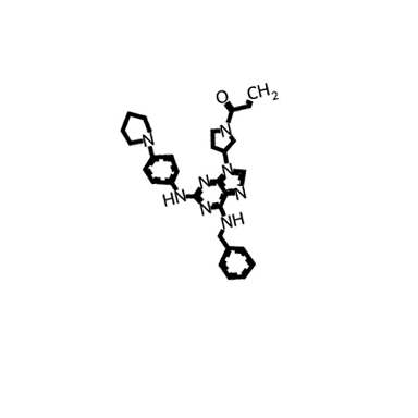 C=CC(=O)N1CCC(n2cnc3c(NCc4ccccc4)nc(Nc4ccc(N5CCCCC5)cc4)nc32)C1